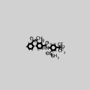 CN(C(=O)c1ccccc1)c1cccc(C(=O)Nc2ccc(C(F)(C(F)(F)F)C(F)(F)F)cc2[S+](C)[O-])c1F